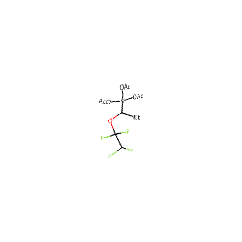 CCC(OC(F)(F)C(F)F)[Si](OC(C)=O)(OC(C)=O)OC(C)=O